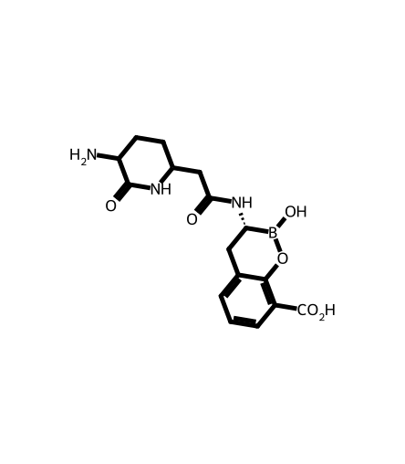 NC1CCC(CC(=O)N[C@H]2Cc3cccc(C(=O)O)c3OB2O)NC1=O